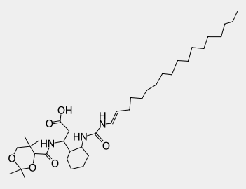 CCCCCCCCCCCCCCCCC=CNC(=O)NC1CCCCC1C(CC(=O)O)NC(=O)C1OC(C)(C)OCC1(C)C